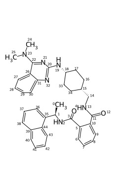 C[C@@H](NC(=O)c1ccccc1C(=O)NC[C@H]1CC[C@@H](Nc2nc(N(C)C)c3ccccc3n2)CC1)c1cccc2ccccc12